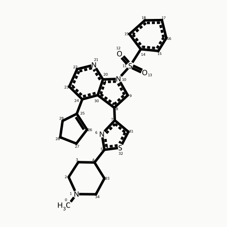 CN1CCC(c2nc(-c3cn(S(=O)(=O)c4ccccc4)c4nccc(C5=CCCC5)c34)cs2)CC1